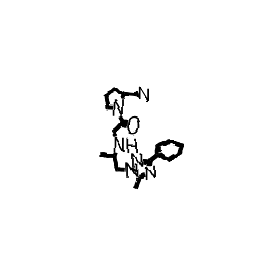 Cc1nc(-c2ccccc2)nn1CC(C)NCC(=O)N1CCCC1C#N